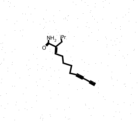 C#CC#CCCCC/C=C(\CC(C)C)C(N)=O